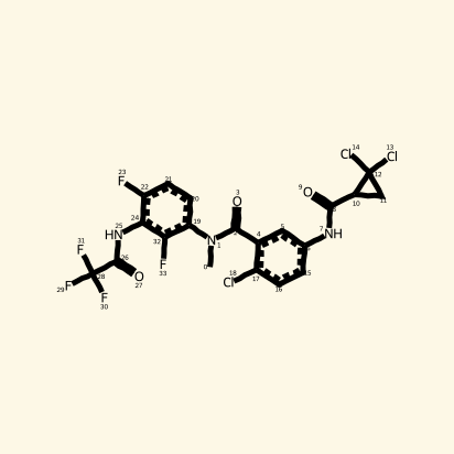 CN(C(=O)c1cc(NC(=O)C2CC2(Cl)Cl)ccc1Cl)c1ccc(F)c(NC(=O)C(F)(F)F)c1F